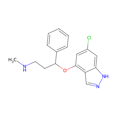 CNCCC(Oc1cc(Cl)cc2[nH]ncc12)c1ccccc1